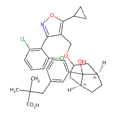 CC(C)(Cc1cccc(C2(O)[C@@H]3CC[C@H]2CC(OCc2c(-c4c(Cl)cccc4Cl)noc2C2CC2)C3)c1)C(=O)O